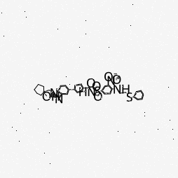 O=C(NS(=O)(=O)c1ccc(NCCSc2ccccc2)c([N+](=O)[O-])c1)c1ccc(-c2ccc3c(c2)ncn3CC2(O)CCCCC2)cc1